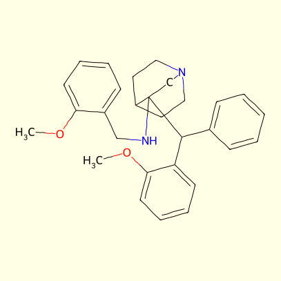 COc1ccccc1CNC1(C(c2ccccc2)c2ccccc2OC)CN2CCC1CC2